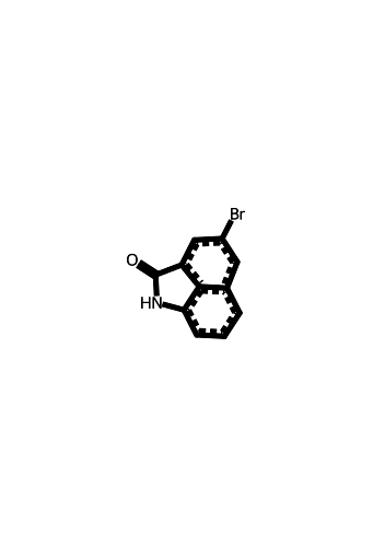 O=C1Nc2cccc3cc(Br)cc1c23